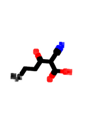 CCCC(=O)C(C#N)C(=O)O